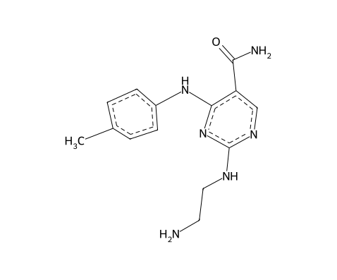 Cc1ccc(Nc2nc(NCCN)ncc2C(N)=O)cc1